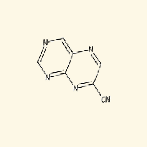 N#Cc1cnc2cncnc2n1